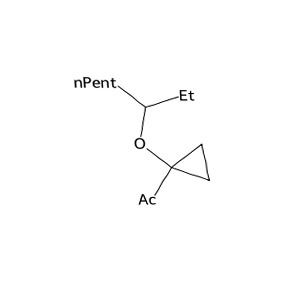 CCCCCC(CC)OC1(C(C)=O)CC1